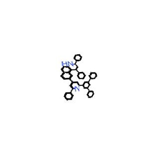 C1=C(c2ccccc2)c2c(ccc3ccc(-c4cc(-c5ccccc5)nc(-c5cc(-c6ccccc6)cc(-c6ccccc6)c5)c4)cc23)NC1c1ccccc1